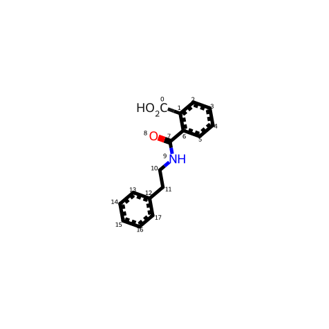 O=C(O)c1ccccc1C(=O)NCCc1ccccc1